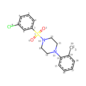 O=S(=O)(c1cccc(Cl)c1)N1CCN(c2ccccc2C(F)(F)F)CC1